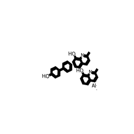 Cc1ccc2cccc(O)c2n1.Cc1ccc2cccc(O)c2n1.Oc1ccc(-c2ccccc2)cc1.[Al]